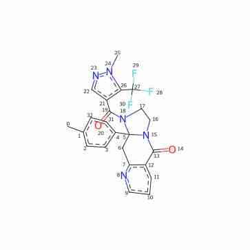 Cc1ccc(C23Cc4ncccc4C(=O)N2CCN3C(=O)c2cnn(C)c2C(F)(F)F)cc1